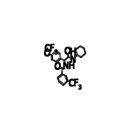 O=C(NC(C(=O)NC1CCCCC1)c1ccc(OC(F)(F)F)cc1)c1cccc(C(F)(F)F)c1